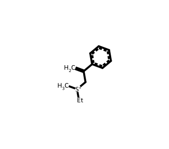 C=C(C[S+](C)CC)c1ccccc1